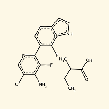 CCC(C)C(=O)O.Nc1c(Cl)cnc(-c2ccc3cc[nH]c3c2F)c1F